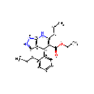 CCCC1=C(C(=O)OCC)C(c2ccccc2CCC)c2cn[nH]c2N1